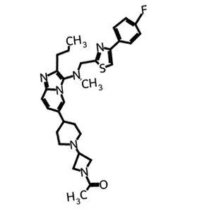 CCCc1nc2ccc(C3CCN(C4CN(C(C)=O)C4)CC3)cn2c1N(C)Cc1nc(-c2ccc(F)cc2)cs1